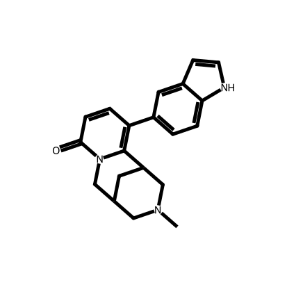 CN1CC2CC(C1)c1c(-c3ccc4[nH]ccc4c3)ccc(=O)n1C2